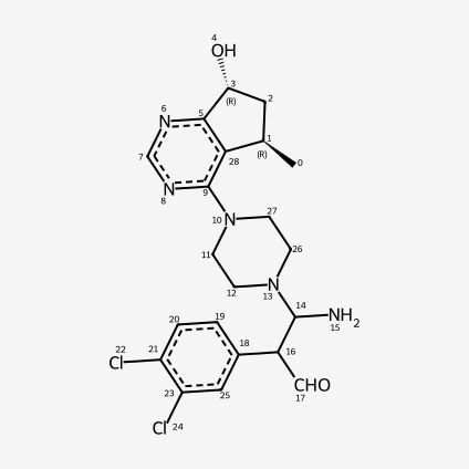 C[C@@H]1C[C@@H](O)c2ncnc(N3CCN(C(N)C(C=O)c4ccc(Cl)c(Cl)c4)CC3)c21